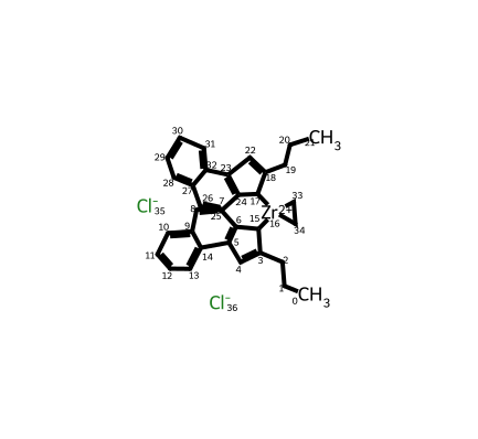 CCCC1=Cc2c(ccc3ccccc23)[CH]1[Zr+2]1([CH]2C(CCC)=Cc3c2ccc2ccccc32)[CH2][CH2]1.[Cl-].[Cl-]